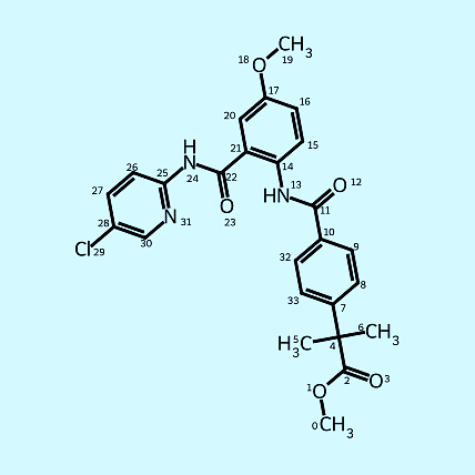 COC(=O)C(C)(C)c1ccc(C(=O)Nc2ccc(OC)cc2C(=O)Nc2ccc(Cl)cn2)cc1